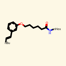 [CH2]CCCC=Cc1cccc(OCCCCCC(=O)NCCCCCC)c1